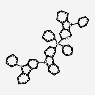 c1ccc(-n2c3ccccc3c3cc(-n4c5ccccc5c5cc([Si](c6ccccc6)(c6ccccc6)c6ccc7c(c6)c6ccccc6n7-c6ccccc6)ccc54)ccc32)cc1